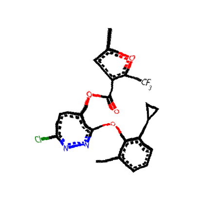 Cc1cc(C(=O)Oc2cc(Cl)nnc2Oc2c(C)cccc2C2CC2)c(C(F)(F)F)o1